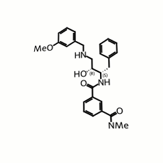 CNC(=O)c1cccc(C(=O)N[C@@H](Cc2ccccc2)[C@H](O)CNCc2cccc(OC)c2)c1